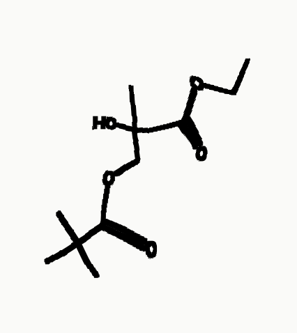 CCOC(=O)C(C)(O)COC(=O)C(C)(C)C